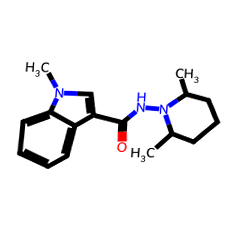 CC1CCCC(C)N1NC(=O)c1cn(C)c2ccccc12